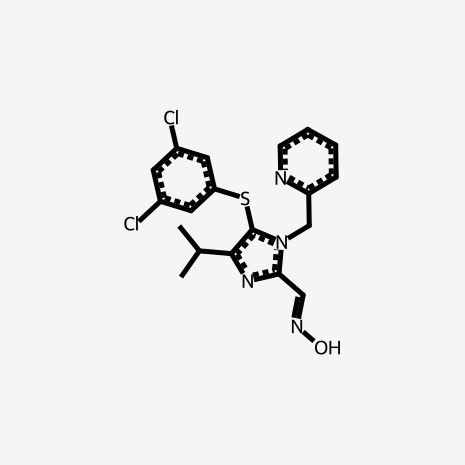 CC(C)c1nc(/C=N/O)n(Cc2ccccn2)c1Sc1cc(Cl)cc(Cl)c1